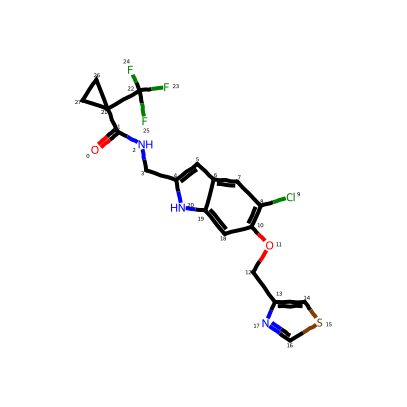 O=C(NCc1cc2cc(Cl)c(OCc3cscn3)cc2[nH]1)C1(C(F)(F)F)CC1